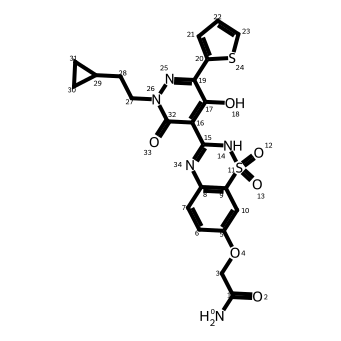 NC(=O)COc1ccc2c(c1)S(=O)(=O)NC(c1c(O)c(-c3cccs3)nn(CCC3CC3)c1=O)=N2